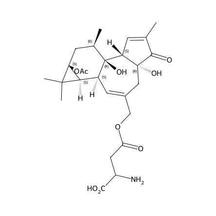 CC(=O)O[C@@]12C[C@@H](C)[C@@]3(O)[C@@H](C=C(COC(=O)CC(N)C(=O)O)C[C@]4(O)C(=O)C(C)=C[C@@H]34)[C@H]1C2(C)C